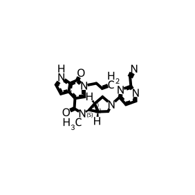 C=CCn1cc(C(=O)N(C)[C@H]2[C@@H]3CN(c4ccnc(C#N)n4)C[C@@H]32)c2cc[nH]c2c1=O